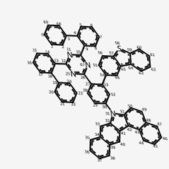 c1ccc(-c2ccccc2-c2nc(-c3ccccc3-c3ccccc3)nc(-c3ccc(-n4c5cc6ccccc6cc5c5c6ccccc6ccc54)cc3-c3ccc4sc5ccccc5c4c3)n2)cc1